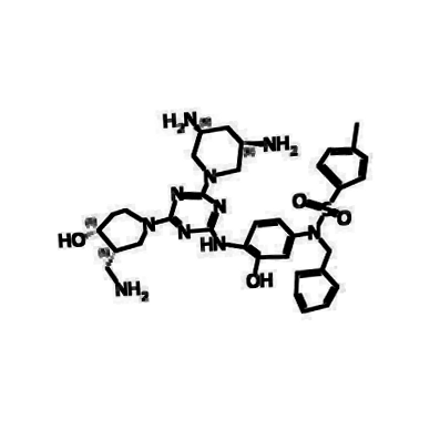 Cc1ccc(S(=O)(=O)N(Cc2ccccc2)c2ccc(Nc3nc(N4C[C@H](N)C[C@H](N)C4)nc(N4CC[C@@H](O)[C@@H](CN)C4)n3)c(O)c2)cc1